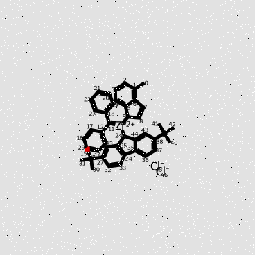 Cc1cccc2c1C=C[CH]2[Zr+2](=[C](c1ccccc1)c1ccccc1)[CH]1c2cc(C(C)(C)C)ccc2-c2ccc(C(C)(C)C)cc21.[Cl-].[Cl-]